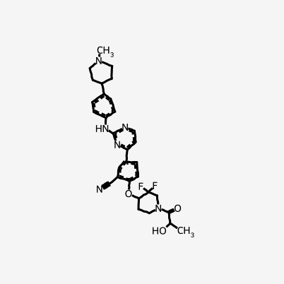 CC(O)C(=O)N1CCC(Oc2ccc(-c3ccnc(Nc4ccc(C5CCN(C)CC5)cc4)n3)cc2C#N)C(F)(F)C1